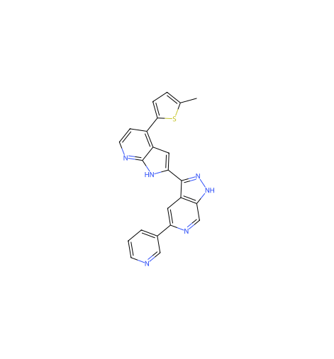 Cc1ccc(-c2ccnc3[nH]c(-c4n[nH]c5cnc(-c6cccnc6)cc45)cc23)s1